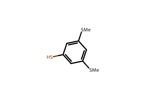 CSc1cc(S)cc(SC)c1